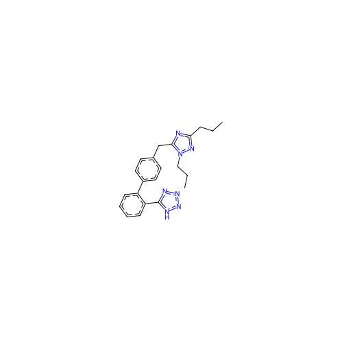 CCCc1nc(Cc2ccc(-c3ccccc3-c3nnn[nH]3)cc2)n(CCC)n1